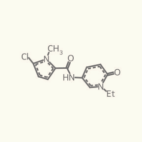 CCn1cc(NC(=O)c2ccc(Cl)n2C)ccc1=O